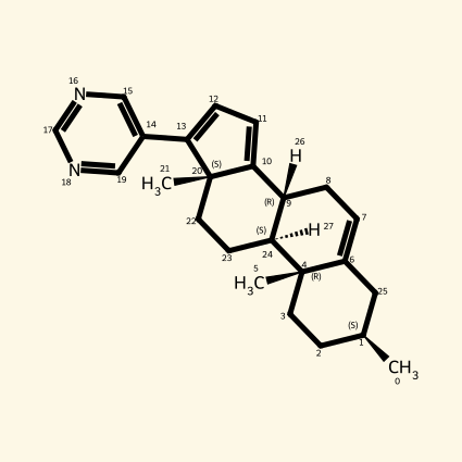 C[C@H]1CC[C@@]2(C)C(=CC[C@H]3C4=CC=C(c5cncnc5)[C@@]4(C)CC[C@@H]32)C1